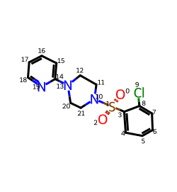 O=S(=O)(c1ccccc1Cl)N1CCN(c2ccccn2)CC1